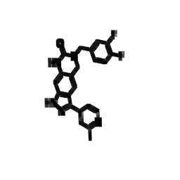 Cc1cc(-c2n[nH]c3cc4c(cc23)CN(Cc2ccc(F)c(F)c2)C(=O)N4)ccn1